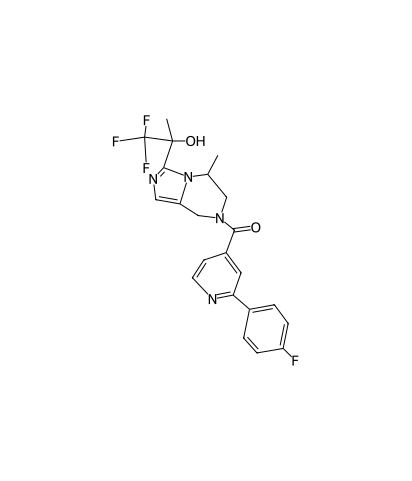 CC1CN(C(=O)c2ccnc(-c3ccc(F)cc3)c2)Cc2cnc(C(C)(O)C(F)(F)F)n21